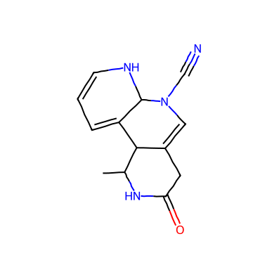 CC1NC(=O)CC2=CN(C#N)C3NC=CC=C3C21